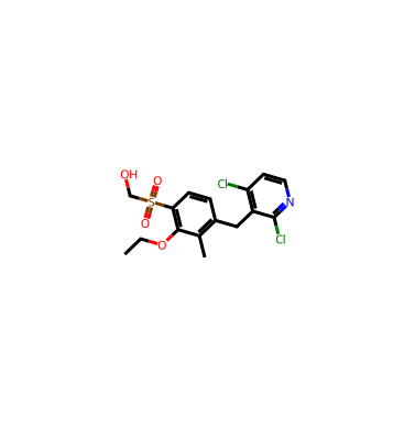 CCOc1c(S(=O)(=O)CO)ccc(Cc2c(Cl)ccnc2Cl)c1C